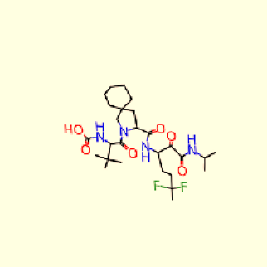 CC(C)NC(=O)C(=O)C(CCC(C)(F)F)NC(=O)C1CC2(CCCCC2)CN1C(=O)C(NC(=O)O)C(C)(C)C